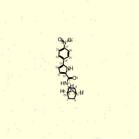 O=C(N[C@@H]1C[C@H]2CC[C@@H]1N2)c1ccc(-c2ccc([N+](=O)[O-])cc2)[nH]1